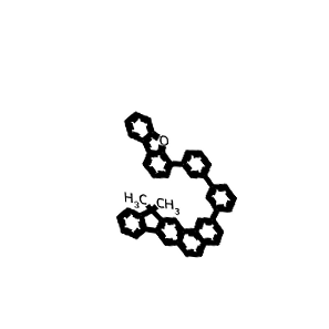 CC1(C)c2ccccc2-c2cc3ccc4ccc(-c5cccc(-c6cccc(-c7cccc8c7oc7ccccc78)c6)c5)cc4c3cc21